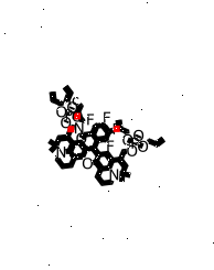 C=CCOP(=O)(OCC=C)OCC1=CC(C)(C)N2CCCc3c4c(cc1c32)C(c1c(F)c(F)c(F)c(F)c1C(=O)N(C)CCCC(C)=O)=c1cc2c3c(c1O4)CCC[N+]=3C(C)(C)C=C2COP(=O)(OCC=C)OCC=C